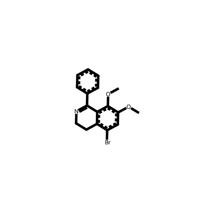 COc1cc(Br)c2c(c1OC)C(c1ccccc1)=NCC2